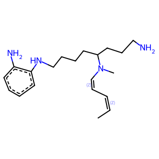 C/C=C\C=C/N(C)C(CCCN)CCCCNc1ccccc1N